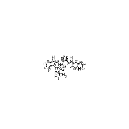 CN(C)C(=O)C1Cc2c([nH]c3cccc(F)c23)CN1C(=O)c1ncsc1CNc1ccc2nccnc2c1